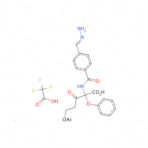 CC(=O)OCCC(=O)C(NC(=O)c1ccc(C=NN)cc1)(Oc1ccccc1)C(=O)O.O=C(O)C(F)(F)F